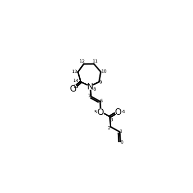 C=CCC(=O)OC=CN1CCCCCC1=O